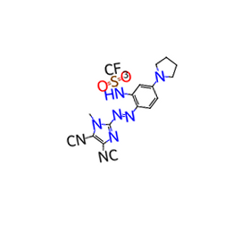 [C-]#[N+]c1nc(N=Nc2ccc(N3CCCC3)cc2NS(=O)(=O)C(F)(F)F)n(C)c1[N+]#[C-]